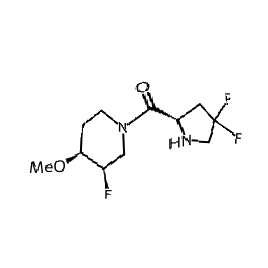 CO[C@H]1CCN(C(=O)[C@H]2CC(F)(F)CN2)C[C@H]1F